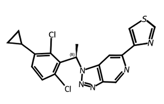 C[C@H](c1c(Cl)ccc(C2CC2)c1Cl)n1nnc2cnc(-c3cscn3)cc21